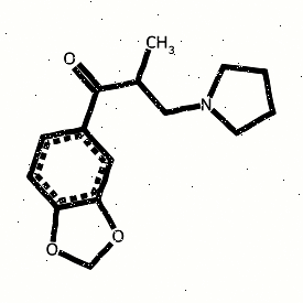 CC(CN1CCCC1)C(=O)c1ccc2c(c1)OCO2